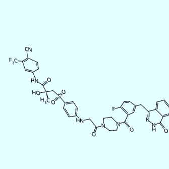 C[C@](O)(CS(=O)(=O)c1ccc(NCC(=O)N2CCN(C(=O)c3cc(Cc4n[nH]c(=O)c5ccccc45)ccc3F)CC2)cc1)C(=O)Nc1ccc(C#N)c(C(F)(F)F)c1